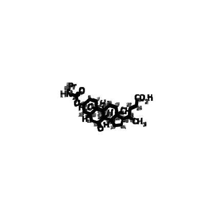 CC(C)NC(=O)O[C@@H]1CC[C@@]2(C)[C@H](CC(=O)[C@@H]3[C@@H]2CC[C@]2(C)[C@@H]([C@H](C)CCC(=O)O)CC[C@@H]32)C1